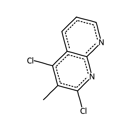 Cc1c(Cl)nc2ncccc2c1Cl